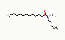 CCCCCCCCCCCC(=O)N(C)CCCC